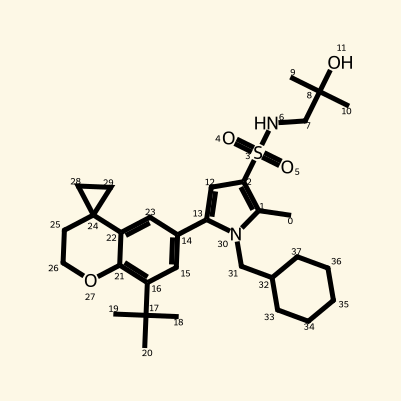 Cc1c(S(=O)(=O)NCC(C)(C)O)cc(-c2cc(C(C)(C)C)c3c(c2)C2(CCO3)CC2)n1CC1CCCCC1